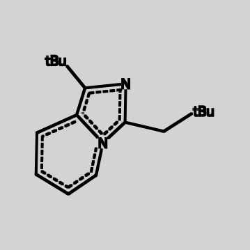 CC(C)(C)Cc1nc(C(C)(C)C)c2ccccn12